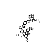 CC1(N2CCC2)C=CC2=C(c3cc(C(=O)NCc4ccc(COc5nc(N)nc6[nH]cnc56)cc4)ccc3C(=O)O)c3ccc(N4CCC4)cc3[Si](C)(C)C2=C1